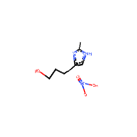 Cc1nc(CCCO)c[nH]1.O=[N+]([O-])O